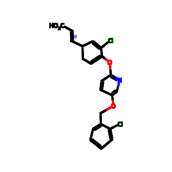 O=C(O)/C=C/C1C=C(Cl)C(Oc2ccc(OCc3ccccc3Cl)cn2)=CC1